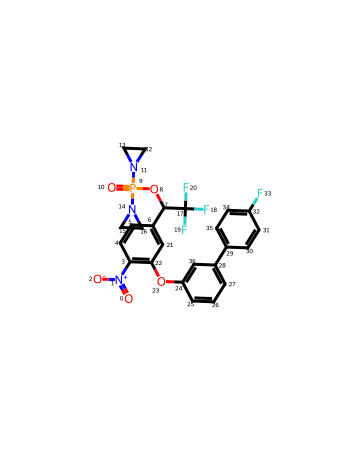 O=[N+]([O-])c1ccc(C(OP(=O)(N2CC2)N2CC2)C(F)(F)F)cc1Oc1cccc(-c2ccc(F)cc2)c1